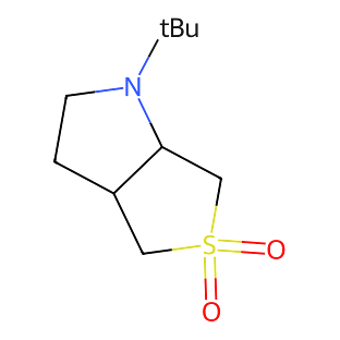 CC(C)(C)N1CCC2CS(=O)(=O)CC21